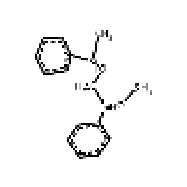 C[SiH](O[SiH2][SiH](O[SiH3])c1ccccc1)c1ccccc1